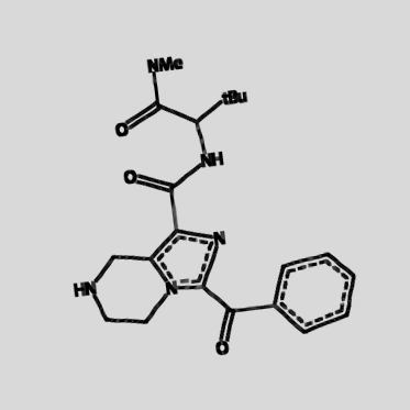 CNC(=O)C(NC(=O)c1nc(C(=O)c2ccccc2)n2c1CNCC2)C(C)(C)C